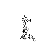 C=C(C)[C@@H]1CC[C@]2(CNCC(=O)N3CCCC3)CC[C@]3(C)[C@H](CC[C@@H]4[C@@]5(C)CC=C(c6ccc(C(=O)C(O)c7ccccc7)cc6)C(C)(C)[C@@H]5CC[C@]43C)[C@@H]12